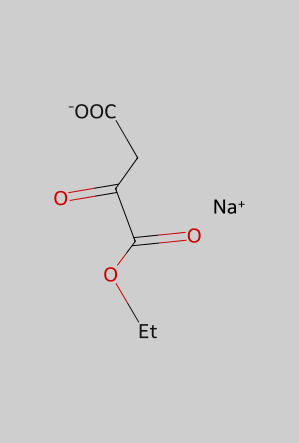 CCOC(=O)C(=O)CC(=O)[O-].[Na+]